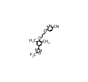 Cc1cc(-c2noc(C(F)(F)F)n2)cc(C)c1OCCCOc1ccc(C#N)nn1